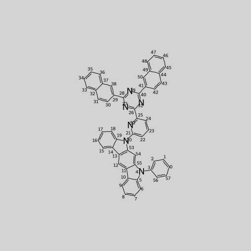 c1ccc(-n2c3ccccc3c3cc4c5ccccc5n(-c5cccc(-c6nc(-c7ccc8ccccc8c7)nc(-c7ccc8ccccc8c7)n6)n5)c4cc32)cc1